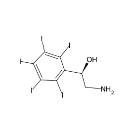 NC[C@H](O)c1c(I)c(I)c(I)c(I)c1I